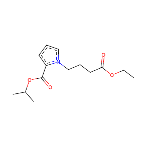 CCOC(=O)CCCn1cccc1C(=O)OC(C)C